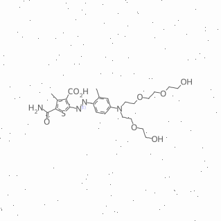 Cc1cc(N(CCOCCO)CCOCCOCCO)ccc1/N=N/c1sc(C(N)=O)c(C)c1C(=O)O